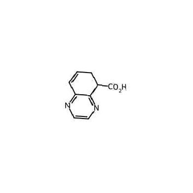 O=C(O)C1CC=Cc2nccnc21